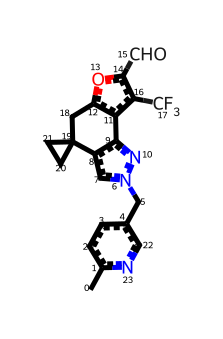 Cc1ccc(Cn2cc3c(n2)-c2c(oc(C=O)c2C(F)(F)F)CC32CC2)cn1